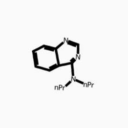 CCCN(CCC)c1ncnc2ccccc12